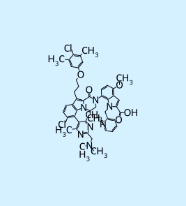 COc1ccc(N2CC(C)n3c(c(CCCOc4cc(C)c(Cl)c(C)c4)c4ccc(Cl)c(-c5c(C)nc(CN(C)C)nc5C)c43)C2=O)c2c1cc(C(=O)O)n2Cc1ccccn1